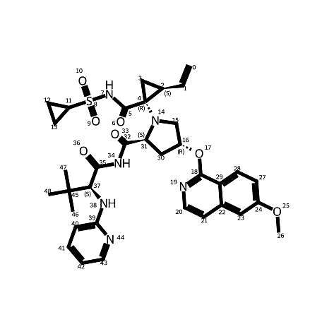 C=C[C@@H]1C[C@@]1(C(=O)NS(=O)(=O)C1CC1)N1C[C@H](Oc2nccc3cc(OC)ccc23)C[C@H]1C(=O)NC(=O)[C@@H](Nc1ccccn1)C(C)(C)C